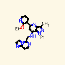 CCOc1ncccc1-c1cc(NCc2nccc3nccn23)c2c(n1)c(C)nn2C(C)C